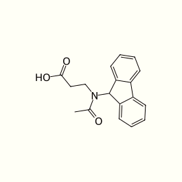 CC(=O)N(CCC(=O)O)C1c2ccccc2-c2ccccc21